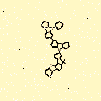 CC1(C)c2cc(-n3c4ccccc4c4cc(-c5ccc6c7ccccc7n(-c7ccccc7)c6c5)ccc43)ccc2-c2c1ccc1c2oc2ccccc21